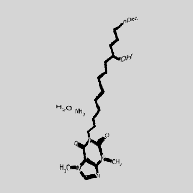 CCCCCCCCCCCCCC(O)CCCCCCCCCn1c(=O)c2c(ncn2C)n(C)c1=O.N.O